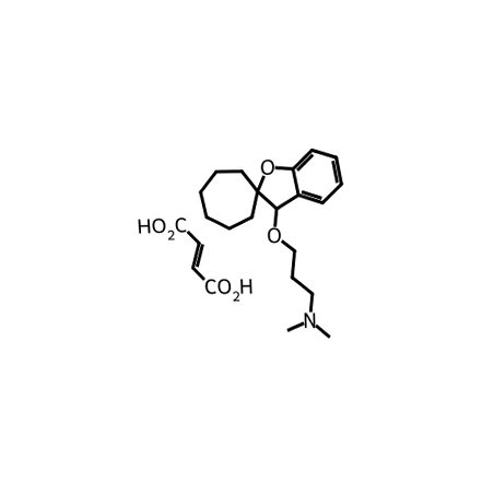 CN(C)CCCOC1c2ccccc2OC12CCCCCC2.O=C(O)/C=C/C(=O)O